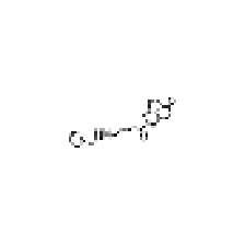 O=C(CCCCNCCCc1ccccc1)c1cc2c3c(c1)CCN3C(=O)CC2